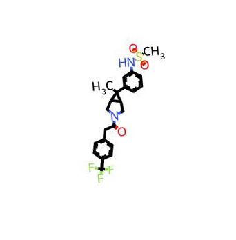 CC1(c2cccc(NS(C)(=O)=O)c2)C2CN(C(=O)Cc3ccc(C(F)(F)F)cc3)CC21